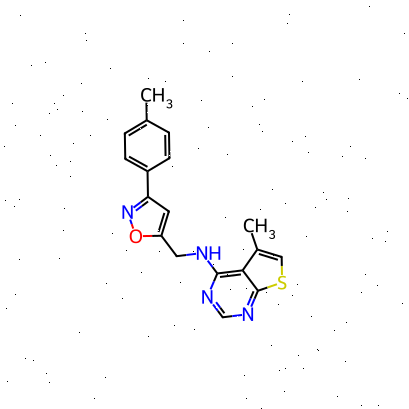 Cc1ccc(-c2cc(CNc3ncnc4scc(C)c34)on2)cc1